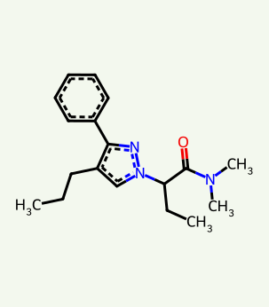 CCCc1cn(C(CC)C(=O)N(C)C)nc1-c1ccccc1